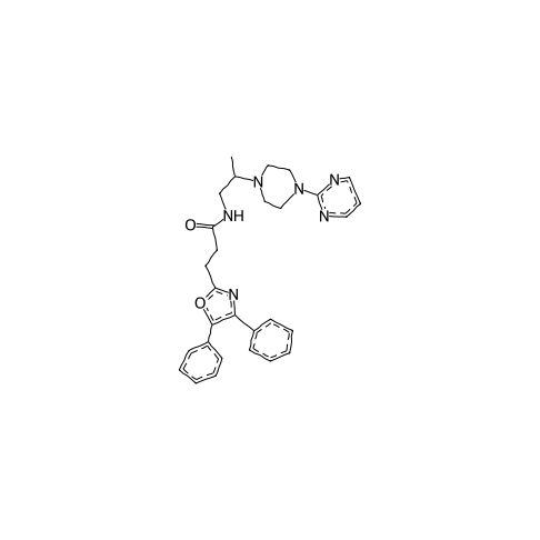 CC(CNC(=O)CCc1nc(-c2ccccc2)c(-c2ccccc2)o1)N1CCN(c2ncccn2)CC1